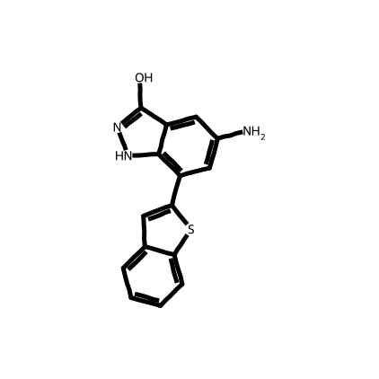 Nc1cc(-c2cc3ccccc3s2)c2[nH]nc(O)c2c1